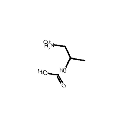 CC(O)CN.O=CO.[Cu]